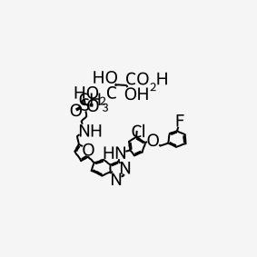 CS(=O)(=O)CCNCc1ccc(-c2ccc3ncnc(Nc4ccc(OCc5cccc(F)c5)c(Cl)c4)c3c2)o1.O=C(O)C(O)C(O)C(=O)O